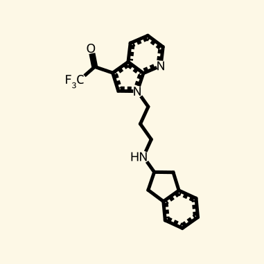 O=C(c1cn(CCCNC2Cc3ccccc3C2)c2ncccc12)C(F)(F)F